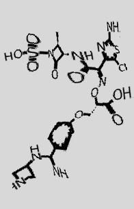 C[C@H]1[C@H](NC(=O)/C(=N\O[C@@H](COc2ccc(C(=N)NC3CNC3)cc2)C(=O)O)c2nc(N)sc2Cl)C(=O)N1S(=O)(=O)O